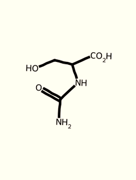 NC(=O)NC(CO)C(=O)O